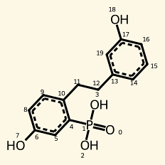 O=P(O)(O)c1cc(O)ccc1CCc1cccc(O)c1